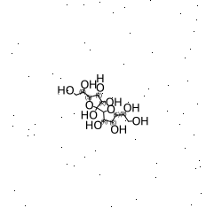 OC[C@@H](O)[C@@H]1OC(O)(C2O[C@@H]([C@H](O)CO)[C@H](O)[C@H]2O)[C@H](O)[C@H]1O